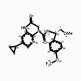 COC[C@@H](NC(=O)N1CC(=O)Nc2cc(C3CC3)cnc21)c1ccc(OC(F)(F)F)cc1